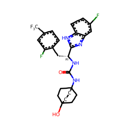 O=C(N[C@H](Cc1ccc(C(F)(F)F)cc1F)c1nc2cc(F)ccc2[nH]1)NC12CCC(O)(CC1)CC2